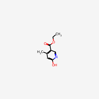 CCOC(=O)c1cnc(O)[c]c1C